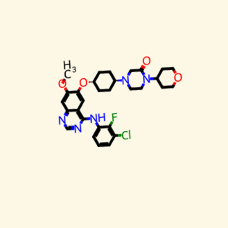 COc1cc2ncnc(Nc3cccc(Cl)c3F)c2cc1O[C@H]1CC[C@H](N2CCN(C3CCOCC3)C(=O)C2)CC1